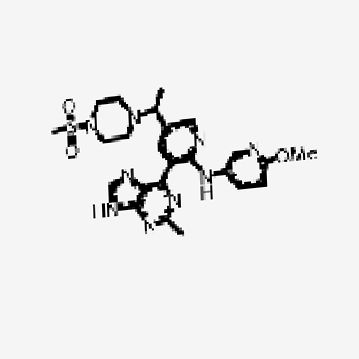 COc1ccc(Nc2ncc(C(C)N3CCN(S(C)(=O)=O)CC3)cc2-c2nc(C)nc3[nH]cnc23)cn1